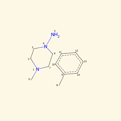 CN1CCN(N)CC1.Cc1ccccc1